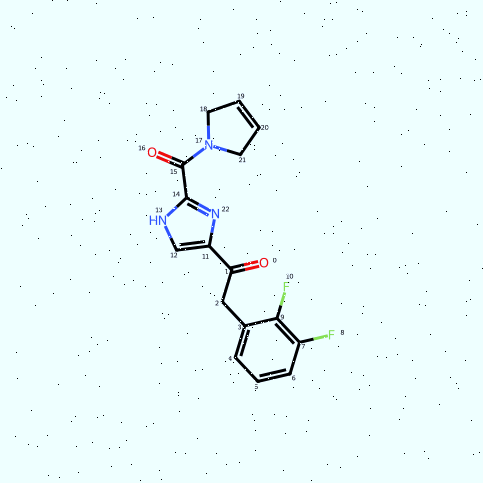 O=C(Cc1cccc(F)c1F)c1c[nH]c(C(=O)N2CC=CC2)n1